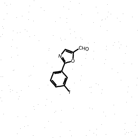 O=Cc1cnc(-c2cccc(I)c2)o1